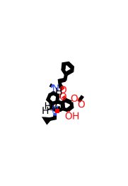 CC(=O)Oc1cc(O)c2c3c1O[C@H]1[C@H](N(C)C(=O)C=Cc4ccccc4)CC[C@H]4[C@@H](C2)N(CC2CC2)CC[C@@]341